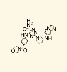 NC(=O)c1nnc(N2CCC[C@@H](Nc3ccn4ccnc4c3)C2)nc1Nc1ccc(C(=O)N2CCOCC2)cc1